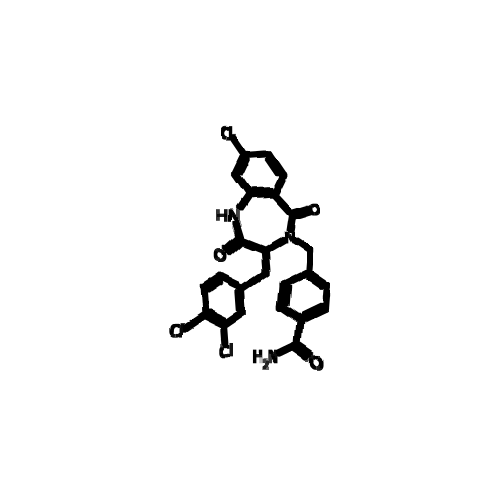 NC(=O)c1ccc(CN2C(=O)c3ccc(Cl)cc3NC(=O)C2Cc2ccc(Cl)c(Cl)c2)cc1